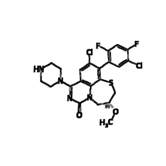 CO[C@H]1CSc2c(-c3cc(Cl)c(F)cc3F)c(Cl)cc3c(N4CCNCC4)nc(=O)n(c23)C1